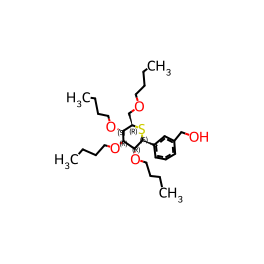 CCCCOC[C@H]1S[C@@H](c2cccc(CO)c2)[C@H](OCCCC)[C@@H](OCCCC)[C@@H]1OCCCC